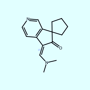 CN(C)/C=C1\C(=O)C2(CCCC2)c2cnccc21